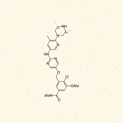 CNC(=O)c1cc(COc2cnc(Nc3cnc(N4C[C@@H](C)N[C@@H](C)C4)c(C)c3)nc2)c(Cl)c(OC)c1